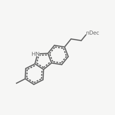 CCCCCCCCCCCCc1ccc2c(c1)[nH]c1cc(C)ccc12